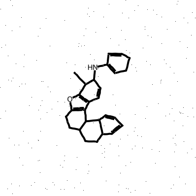 CC1c2oc3c(c2C=CC1NC1=CCCC=C1)C1C(CC3)CCC2C=CC=CC21